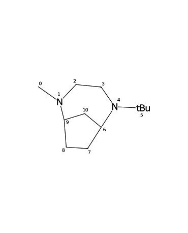 CN1CCN(C(C)(C)C)C2CCC1C2